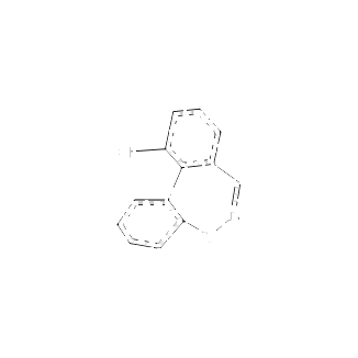 Clc1cccc2c1-c1ccccc1SN=C2